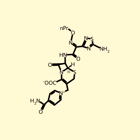 CCCON=C(C(=O)NC1C(=O)N2C(C(=O)[O-])=C(C[n+]3ccc(C(N)=O)cc3)CS[C@@H]12)c1nsc(N)n1